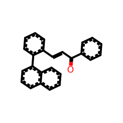 O=C(C=Cc1ccccc1-c1cccc2ccccc12)c1ccccc1